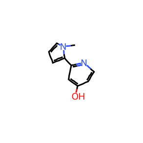 Cn1cccc1-c1cc(O)ccn1